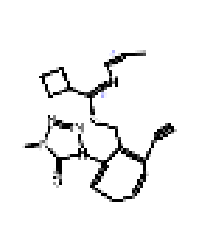 C#CC1=C(CS/C(=N/C=C\C)C2CCC2)C(n2nnn(C)c2=O)=CCC=C1